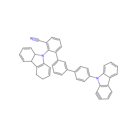 N#Cc1cccc(-c2cccc(-c3ccc(-n4c5c#cccc5c5ccccc54)cc3)c2)c1N1C2=C(CCC=C2)C2C=CC=CC21